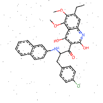 CCc1cc2nc(O)c(C(=O)C(Cc3ccc(Cl)cc3)Nc3ccc4ccccc4c3)c(O)c2c(OC)c1OC